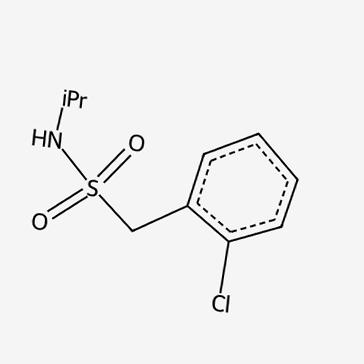 CC(C)NS(=O)(=O)Cc1ccccc1Cl